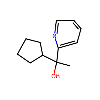 CC(O)(c1ccccn1)C1CCCC1